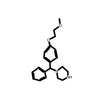 COCCOc1ccc(C(c2ccccc2)N2CCNCC2)cc1